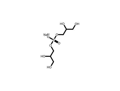 O=P(O)(OCC(O)CO)OCC(O)CO.[Na]